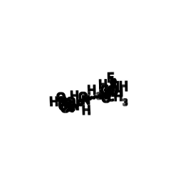 Cc1[nH]c(C=C2C(=O)Nc3ccc(F)cc32)c(C)c1C(=O)NCCCCCCCCNC(=O)c1ccc(CNc2cccc3c2C(=O)N(C2CCC(=O)NC2=O)C3=O)cc1